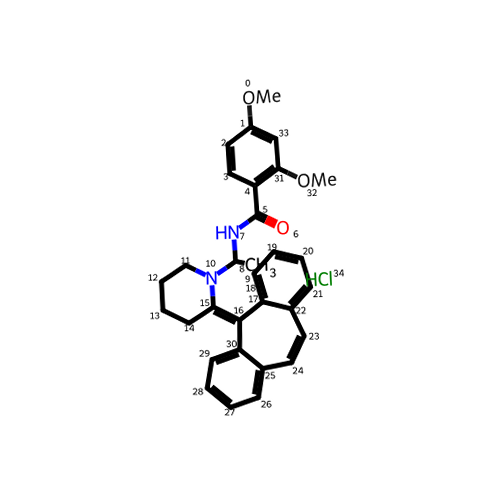 COc1ccc(C(=O)NC(C)N2CCCCC2=C2c3ccccc3C=Cc3ccccc32)c(OC)c1.Cl